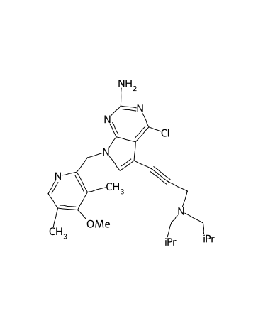 COc1c(C)cnc(Cn2cc(C#CCN(CC(C)C)CC(C)C)c3c(Cl)nc(N)nc32)c1C